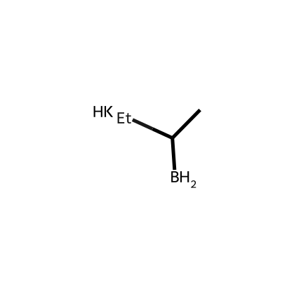 BC(C)CC.[KH]